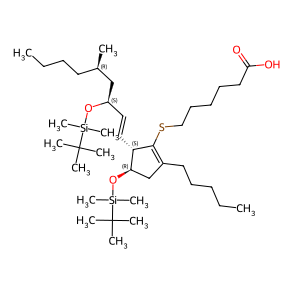 CCCCCC1=C(SCCCCCC(=O)O)[C@@H](C=C[C@H](C[C@H](C)CCCC)O[Si](C)(C)C(C)(C)C)[C@H](O[Si](C)(C)C(C)(C)C)C1